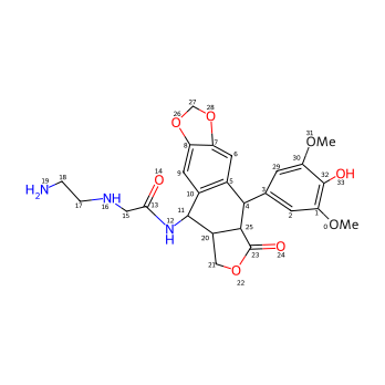 COc1cc(C2c3cc4c(cc3C(NC(=O)CNCCN)C3COC(=O)C23)OCO4)cc(OC)c1O